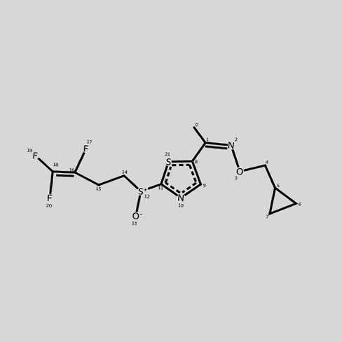 C/C(=N/OCC1CC1)c1cnc([S+]([O-])CCC(F)=C(F)F)s1